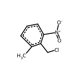 Cc1cccc([N+](=O)[O-])c1CCl